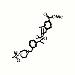 COC(=O)c1ccc(CNS(=O)(=O)C(C)c2cccc(CN3CCN(S(C)(=O)=O)CC3)c2)c(F)c1